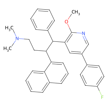 COc1ncc(-c2ccc(F)cc2)cc1C(c1ccccc1)C(CCN(C)C)c1cccc2ccccc12